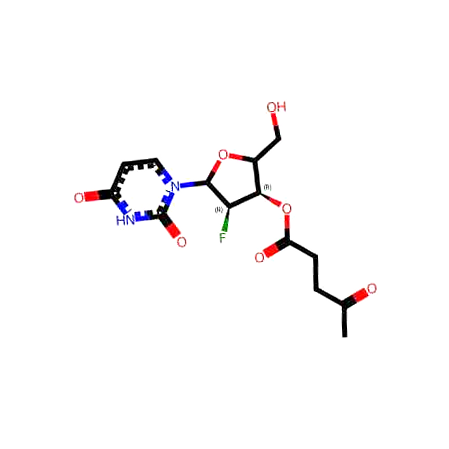 CC(=O)CCC(=O)O[C@@H]1C(CO)OC(n2ccc(=O)[nH]c2=O)[C@@H]1F